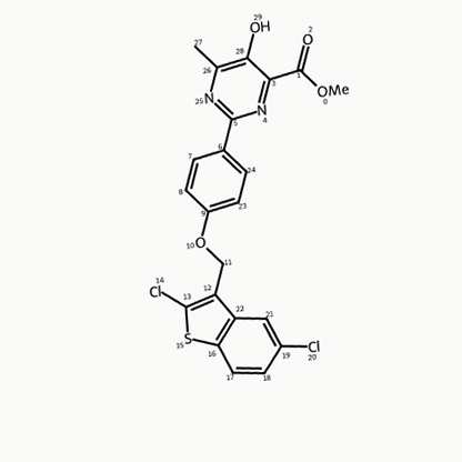 COC(=O)c1nc(-c2ccc(OCc3c(Cl)sc4ccc(Cl)cc34)cc2)nc(C)c1O